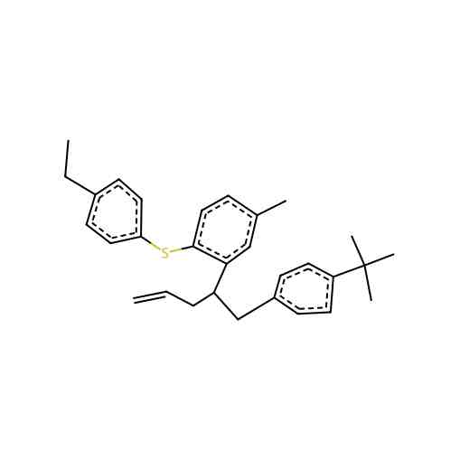 C=CCC(Cc1ccc(C(C)(C)C)cc1)c1cc(C)ccc1Sc1ccc(CC)cc1